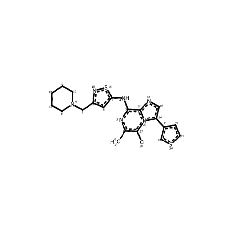 Cc1nc(Nc2cc(CN3CCCCC3)ns2)c2ncc(-c3ccsc3)n2c1Cl